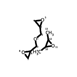 C(OCC1CO1)C1CO1.CC1OC1C